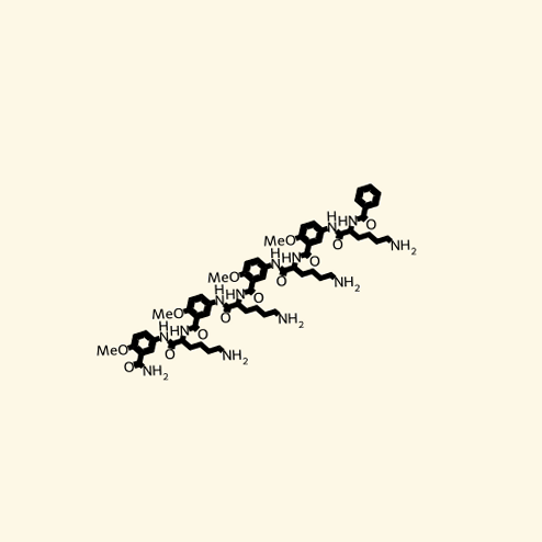 COc1ccc(NC(=O)C(CCCCN)NC(=O)c2cc(NC(=O)C(CCCCN)NC(=O)c3cc(NC(=O)C(CCCCN)NC(=O)c4cc(NC(=O)C(CCCCN)NC(=O)c5ccccc5)ccc4OC)ccc3OC)ccc2OC)cc1C(N)=O